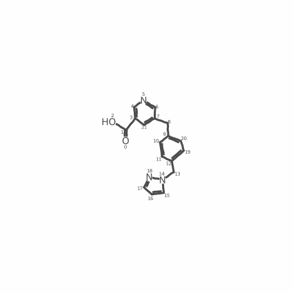 O=C(O)c1cncc(Cc2ccc(Cn3cccn3)cc2)c1